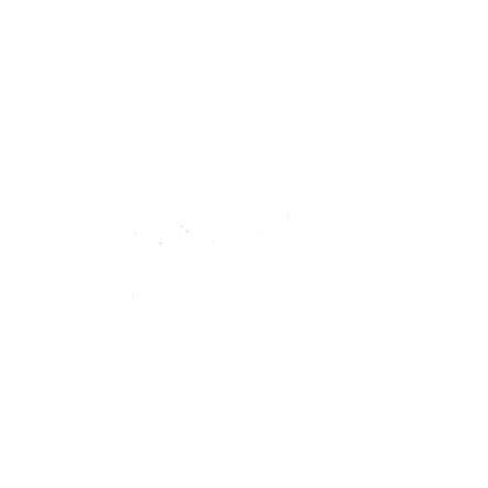 CC1CC(CCCNC(C)CO)C1